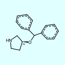 c1ccc(C(O[C@H]2CCNC2)c2ccccc2)cc1